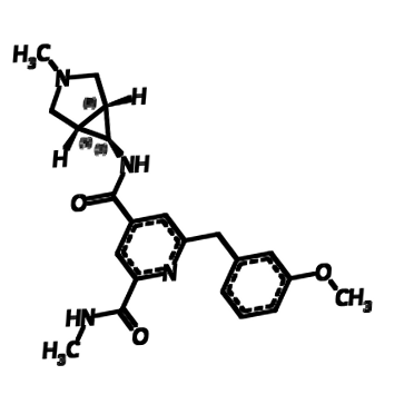 CNC(=O)c1cc(C(=O)N[C@H]2[C@@H]3CN(C)C[C@@H]32)cc(Cc2cccc(OC)c2)n1